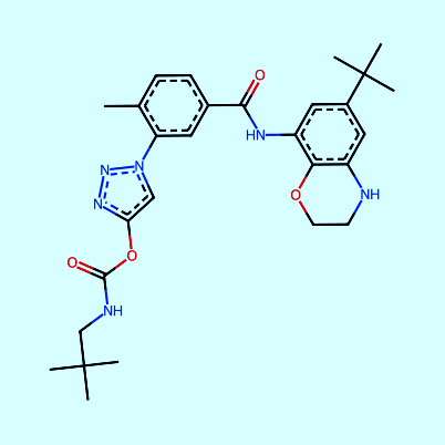 Cc1ccc(C(=O)Nc2cc(C(C)(C)C)cc3c2OCCN3)cc1-n1cc(OC(=O)NCC(C)(C)C)nn1